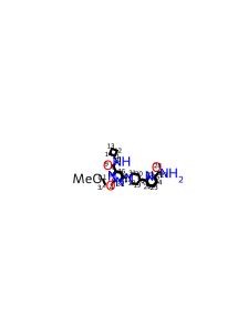 COC[C@@H](C)Oc1nc(C(=O)NC2CCC2)cc(N2CCC(c3cccc(C(N)=O)n3)CC2)n1